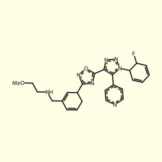 COCCNCC1=CC(c2noc(-c3nnn(C4C=CC=CC4F)c3-c3ccncc3)n2)CC=C1